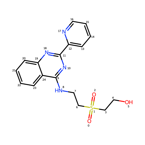 O=S(=O)(CCO)CCNc1nc(-c2ccccn2)nc2ccccc12